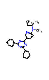 C=CC(=C)N(C)c1ccc(-c2nc(-c3ccccc3)nc(-c3ccccc3)n2)cn1